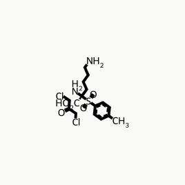 Cc1ccc(S(=O)(=O)[C@](N)(CCCCN)C(=O)O)cc1.O=C(CCl)CCl